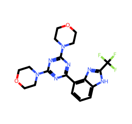 FC(F)(F)c1nc2c(-c3nc(N4CCOCC4)nc(N4CCOCC4)n3)cccc2[nH]1